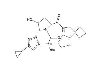 CC(C)(C)[C@@H](C(=O)N1CC(O)CC1C(=O)NCC1(C2CCCO2)CCC1)n1cc(C2CC2)nn1